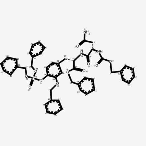 NC(=O)C[C@H](NC(=O)OCc1ccccc1)C(=O)N[C@@H](Cc1ccc(OP(=O)(OCc2ccccc2)OCc2ccccc2)c(OCc2ccccc2)c1)C(=O)OCc1ccccc1